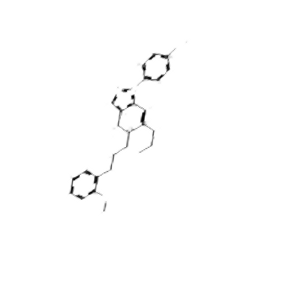 COc1ccccc1C[C@H](O)[C@H]1CCCC2=Cc3c(cnn3-c3ccc(F)cc3)C[C@@]21C